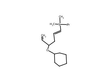 C=CC(CC=C[Si](C)(C)C(C)C)OC1CCCCC1